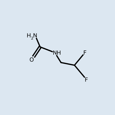 NC(=O)NCC(F)F